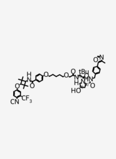 Cc1ncoc1-c1ccc(CNC(=O)[C@@H]2C[C@@H](O)CN2C(=O)[C@@H](NC(=O)COCCCCCOc2ccc(C(=O)NC3C(C)(C)C(Oc4ccc(C#N)c(C(F)(F)F)c4)C3(C)C)cc2)C(C)(C)C)cc1